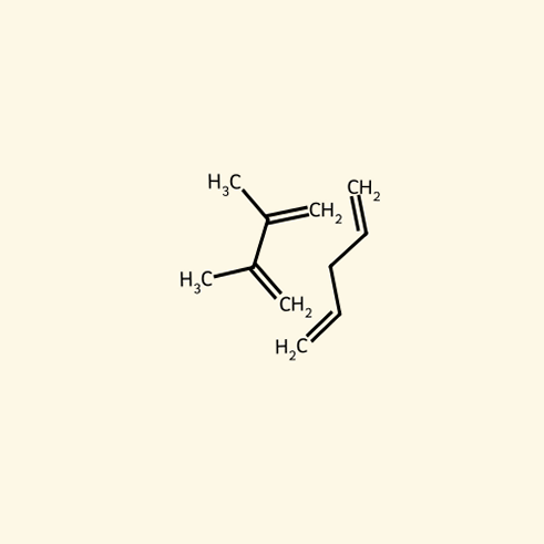 C=C(C)C(=C)C.C=CCC=C